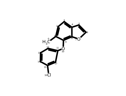 Cc1ccc2ccoc2c1Oc1cc[c]c(Cl)c1